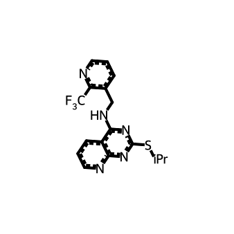 CC(C)Sc1nc(NCc2cccnc2C(F)(F)F)c2cccnc2n1